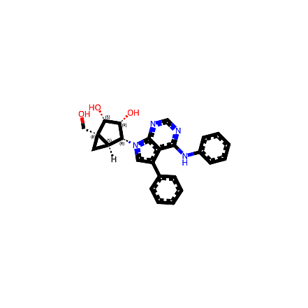 OC[C@@]12C[C@@H]1[C@@H](n1cc(-c3ccccc3)c3c(Nc4ccccc4)ncnc31)[C@@H](O)[C@H]2O